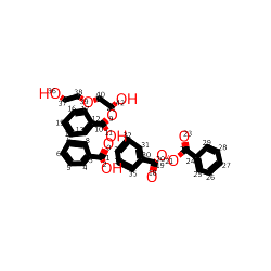 O=C(O)c1ccccc1.O=C(O)c1ccccc1.O=C(OOC(=O)c1ccccc1)c1ccccc1.OCCOCCO